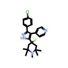 CN1C(C)(C)CC(F)(c2[nH]nc(-c3ccc(Cl)cc3)c2-c2ccncc2)CC1(C)C